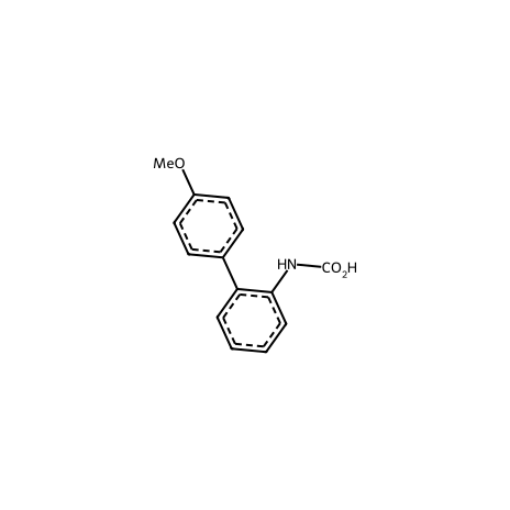 COc1ccc(-c2ccccc2NC(=O)O)cc1